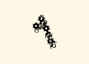 CC(=O)N1CCN(c2ncc(-c3ccc4c(=O)n(Cc5ccncc5)n(Cc5ccccc5Cl)c4c3)cn2)CC1C